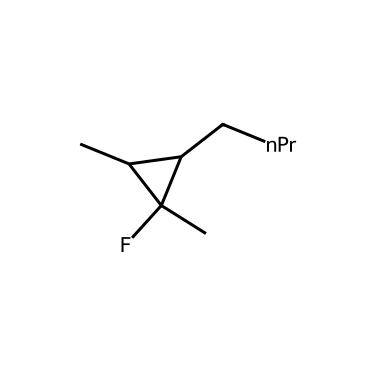 CCCCC1C(C)C1(C)F